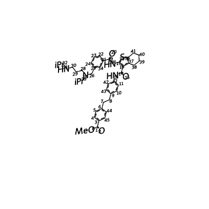 COC(=O)c1ccc(CCc2ccc(NC(=O)c3c(NC(=O)c4cccc(CN(CCCNC(C)C)C(C)C)c4)sc4c3CCCC4)cc2)cc1